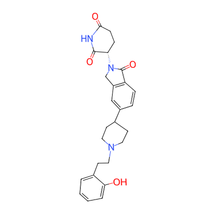 O=C1CC[C@H](N2Cc3cc(C4CCN(CCc5ccccc5O)CC4)ccc3C2=O)C(=O)N1